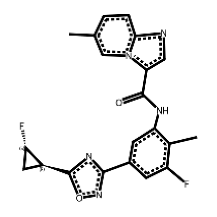 Cc1ccc2ncc(C(=O)Nc3cc(-c4noc([C@H]5C[C@@H]5F)n4)cc(F)c3C)n2c1